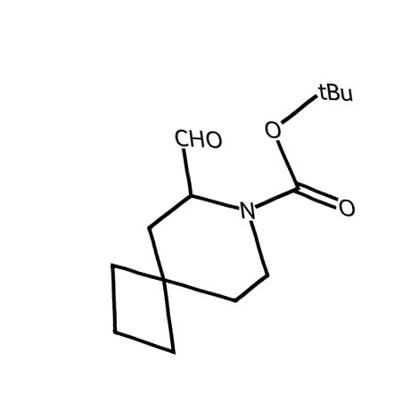 CC(C)(C)OC(=O)N1CCC2(CCC2)CC1C=O